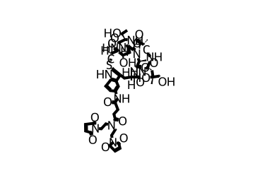 CC(O)[C@H]1NC(=O)[C@H](C)CNC(=O)[C@H](C[C@@](C)(O)CO)NC(=O)[C@@H]2Cc3c([nH]c4ccc(NC(=O)CCC(=O)N(CCN5C(=O)C=CC5=O)CCN5C(=O)C=CC5=O)cc34)SC[C@@H](NC1=O)C(=O)N1C[C@H](O)C[C@H]1C(=O)N[C@@H](C)C(=O)N2